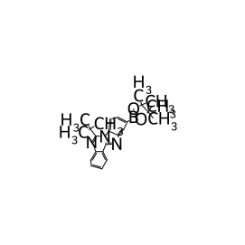 CC(C)(C)c1nc2ccccc2c2nc3cc(B4OC(C)(C)C(C)(C)O4)ccc3n12